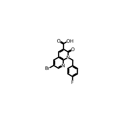 O=C(O)c1cc2cc(Br)cnc2n(Cc2ccc(F)cc2)c1=O